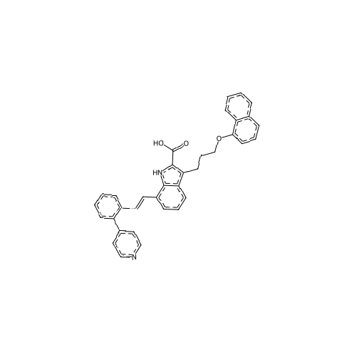 O=C(O)c1[nH]c2c(C=Cc3ccccc3-c3ccncc3)cccc2c1CCCOc1cccc2ccccc12